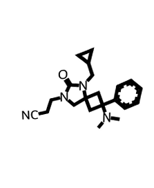 CN(C)C1(c2ccccc2)CC2(CN(CCC#N)C(=O)N2CC2CC2)C1